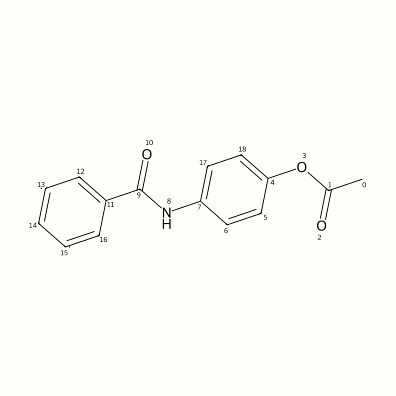 CC(=O)Oc1ccc(NC(=O)c2c[c]c[c]c2)cc1